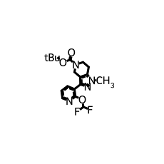 Cn1nc(-c2cccnc2OC(F)F)c2c1CCN(C(=O)OC(C)(C)C)C2